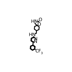 O=C1NCC2(CCC(CNc3ccc(-c4cccc(C(F)(F)F)c4)nn3)CC2)O1